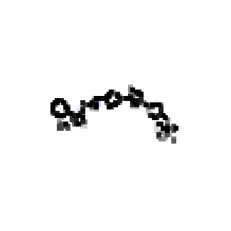 CC(C)c1ccccc1N1CS/C1=N\N=C\c1ccc(-c2ncn(-c3ccc(CC(F)(F)C(F)(F)F)cc3)n2)cc1